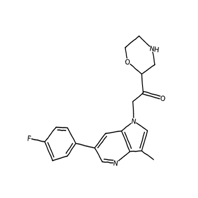 Cc1cn(CC(=O)C2CNCCO2)c2cc(-c3ccc(F)cc3)cnc12